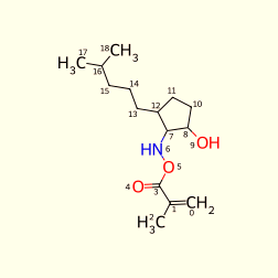 C=C(C)C(=O)ONC1C(O)CCC1CCCC(C)C